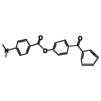 CN(C)c1ccc(C(=O)Oc2ccc(C(=O)c3ccccc3)cc2)cc1